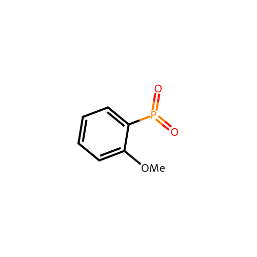 COc1ccccc1P(=O)=O